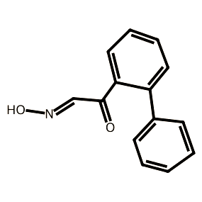 O=C(C=NO)c1ccccc1-c1ccccc1